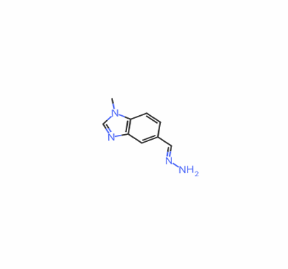 Cn1cnc2cc(C=NN)ccc21